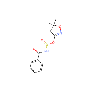 CC1(C)CC(OS(=O)NC(=O)c2ccccc2)=NO1